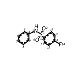 O=S(=O)(Nc1c[c]ccc1)c1ccc(F)cc1